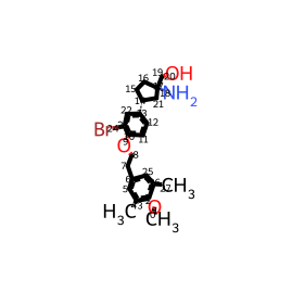 COc1c(C)cc(CCOc2ccc([C@@H]3CC[C@](N)(CO)C3)cc2Br)cc1C